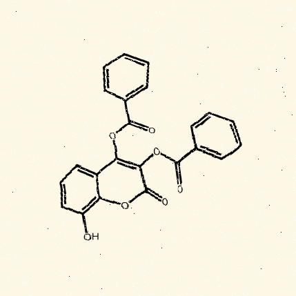 O=C(Oc1c(OC(=O)c2ccccc2)c2cccc(O)c2oc1=O)c1ccccc1